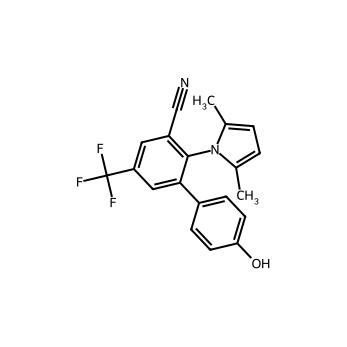 Cc1ccc(C)n1-c1c(C#N)cc(C(F)(F)F)cc1-c1ccc(O)cc1